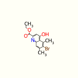 CCOC(=O)c1cc(O)c2c(C)c(Br)c(C)cc2n1